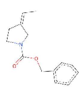 C/C=C1/CCN(C(=O)OCc2ccccc2)C1